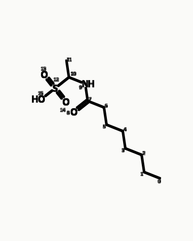 CCCCCCCC(=O)NC(C)S(=O)(=O)O